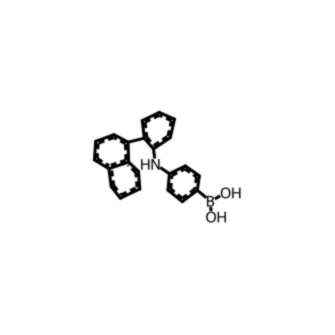 OB(O)c1ccc(Nc2ccccc2-c2cccc3ccccc23)cc1